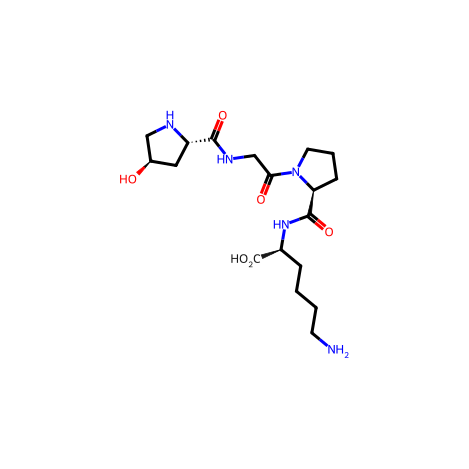 NCCCC[C@H](NC(=O)[C@@H]1CCCN1C(=O)CNC(=O)[C@@H]1C[C@@H](O)CN1)C(=O)O